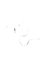 O=C(O)C(F)(F)F.Oc1ccccc1F